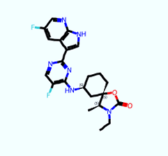 CCN1C(=O)O[C@]2(CCC[C@H](Nc3nc(-c4c[nH]c5ncc(F)cc45)ncc3F)C2)[C@@H]1C